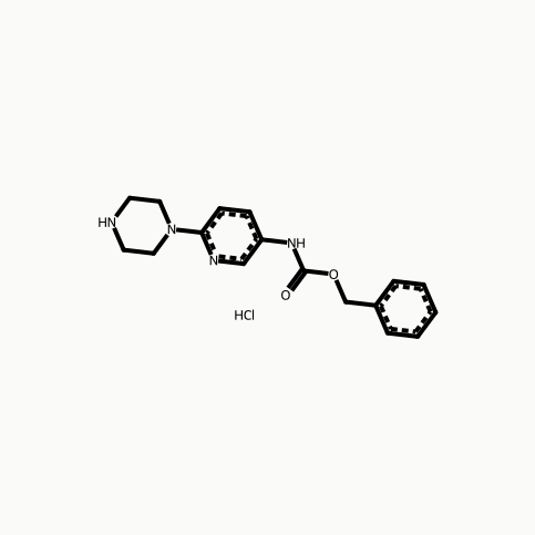 Cl.O=C(Nc1ccc(N2CCNCC2)nc1)OCc1ccccc1